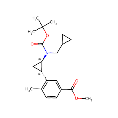 COC(=O)c1ccc(C)c([C@@H]2C[C@H]2N(CC2CC2)C(=O)OC(C)(C)C)c1